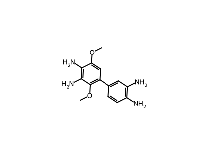 COc1cc(-c2ccc(N)c(N)c2)c(OC)c(N)c1N